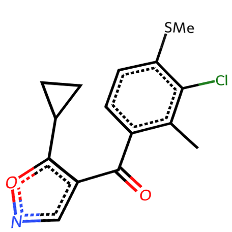 CSc1ccc(C(=O)c2cnoc2C2CC2)c(C)c1Cl